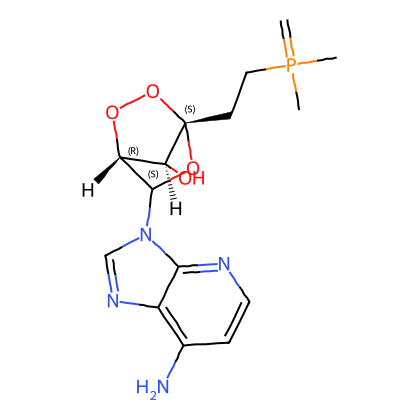 C=P(C)(C)CC[C@@]12OO[C@@H](C(n3cnc4c(N)ccnc43)O1)[C@@H]2O